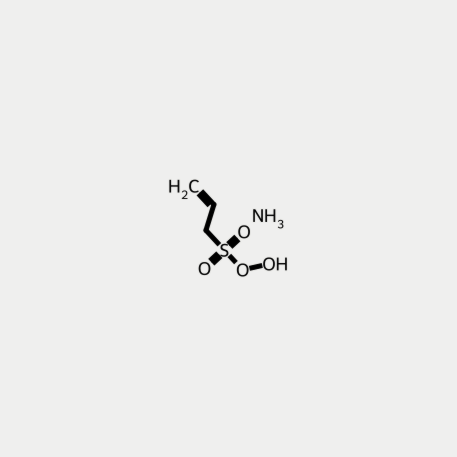 C=CCS(=O)(=O)OO.N